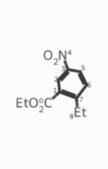 CCOC(=O)c1cc([N+](=O)[O-])ccc1CC